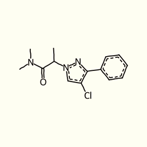 CC(C(=O)N(C)C)n1cc(Cl)c(-c2ccccc2)n1